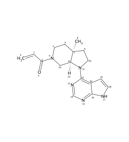 C=CC(=O)N1CC[C@@]2(C)CCN(c3ncnc4[nH]ccc34)[C@H]2C1